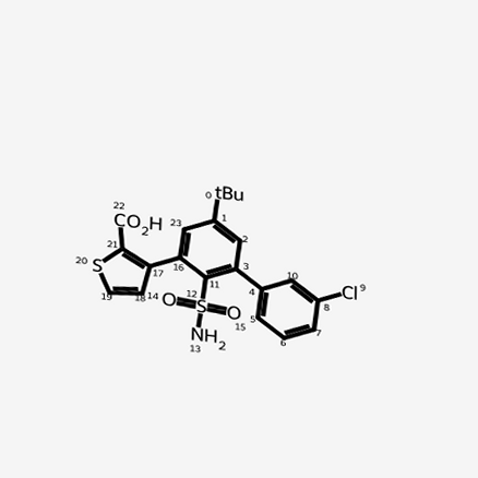 CC(C)(C)c1cc(-c2cccc(Cl)c2)c(S(N)(=O)=O)c(-c2ccsc2C(=O)O)c1